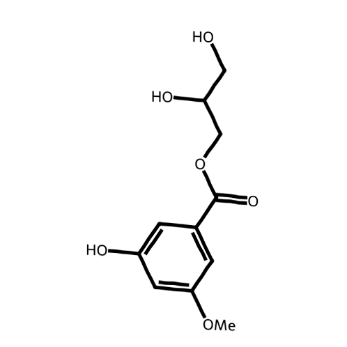 COc1cc(O)cc(C(=O)OCC(O)CO)c1